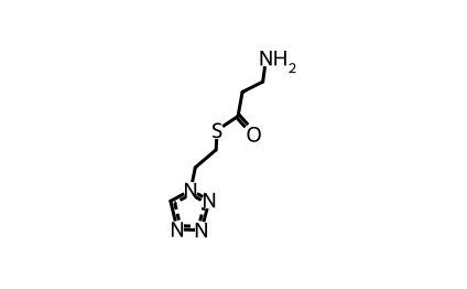 NCCC(=O)SCCn1cnnn1